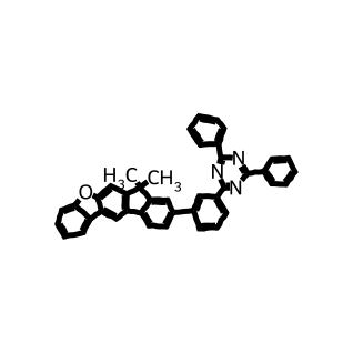 CC1(C)c2cc(-c3cccc(-c4nc(-c5ccccc5)nc(-c5ccccc5)n4)c3)ccc2-c2cc3c(cc21)oc1ccccc13